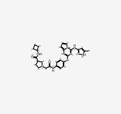 Cc1cc(Nc2nc(Sc3ccc(NC(=O)CN4CCC(C(=O)NC5CCC5)C4)cc3)nc3cccn23)n[nH]1